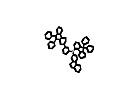 c1ccc(-c2c(-c3ccccc3)c3cc(-c4cccc(N(c5ccc6c(ccc7ccccc76)c5)c5cccc6c5-c5ccccc5C6(c5ccccc5)c5ccccc5)c4)ccc3c3ccccc23)cc1